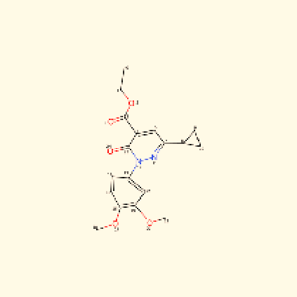 CCOC(=O)c1cc(C2CC2)nn(-c2ccc(OC)c(OC)c2)c1=O